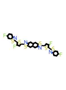 Fc1ccc2nc(-c3sc(-c4nc5cc6cc7sc(-c8cc(F)c(-c9nc%10ccc(F)cc%10s9)s8)nc7cc6cc5s4)cc3F)sc2c1